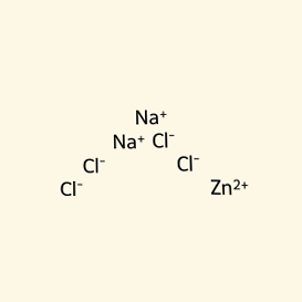 [Cl-].[Cl-].[Cl-].[Cl-].[Na+].[Na+].[Zn+2]